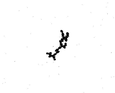 c1ccc(-c2ccc(-c3nc(-c4ccc(-c5cccc(-c6ccc(-c7nc(-c8ccc(-c9cccc(-c%10cccc(-c%11ccc(-c%12nc(-c%13ccc(-c%14ccccc%14)cc%13)nc(-n%13c%14ccccc%14c%14cc%15c(cc%14%13)c%13ccccc%13n%15-c%13ccccc%13)n%12)cc%11)c%10)c9)cc8)nc(-n8c9ccccc9c9cc%10sc%11ccccc%11c%10cc98)n7)cc6)c5)cc4)nc(-n4c5ccccc5c5cc6sc7ccccc7c6cc54)n3)cc2)cc1